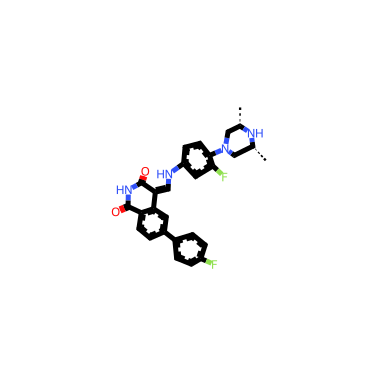 C[C@@H]1CN(c2ccc(NC=C3C(=O)NC(=O)c4ccc(-c5ccc(F)cc5)cc43)cc2F)C[C@H](C)N1